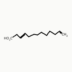 C=CCCCCCCCC=CCC(=O)O